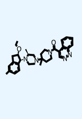 CCO[C@@H]1Cc2cc(C)ccc2[C@H]1N1CCN(C2(C)CCN(C(=O)c3cnnc4ccccc34)CC2)C[C@@H]1C